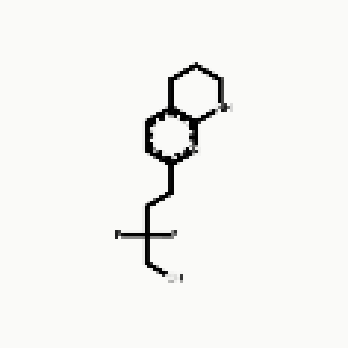 OCC(F)(F)CCc1ccc2c(n1)NCCC2